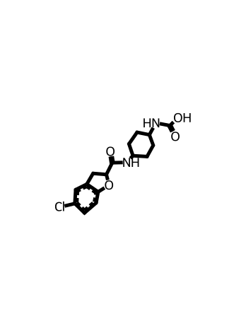 O=C(O)NC1CCC(NC(=O)C2Cc3cc(Cl)ccc3O2)CC1